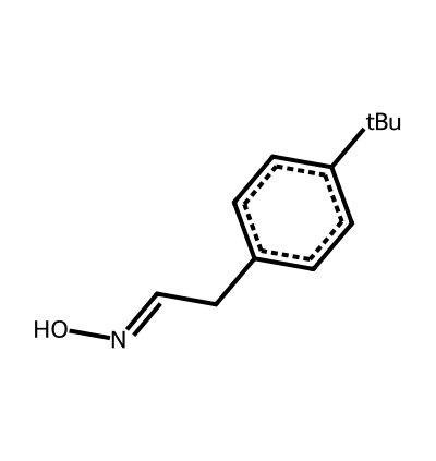 CC(C)(C)c1ccc(CC=NO)cc1